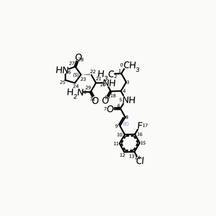 CC(C)CC(NC(=O)/C=C/c1ccc(Cl)cc1F)C(=O)NC(C[C@@H]1CCNC1=O)C(N)=O